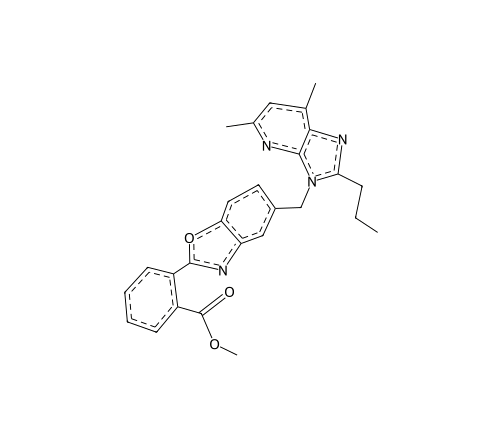 CCCc1nc2c(C)cc(C)nc2n1Cc1ccc2oc(-c3ccccc3C(=O)OC)nc2c1